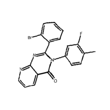 Cc1ccc(-n2c(-c3ccccc3Br)nc3ncccc3c2=O)cc1F